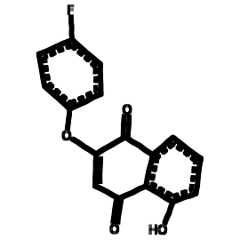 O=C1C(Oc2ccc(F)cc2)=CC(=O)c2c(O)cccc21